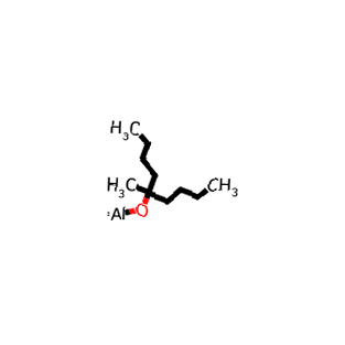 CCCCC(C)(CCCC)[O][Al]